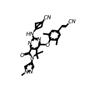 Cc1cc(/C=C/C#N)cc(C)c1Oc1nc(NC23CC(C#N)(C2)C3)nc2c1C(C)(C)N(c1cnn(C)c1)C2=O